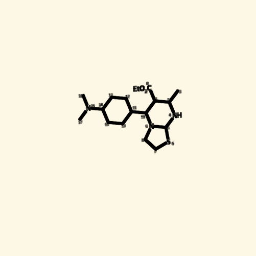 CCOC(=O)C1C(C)NC2SCCN2C1C1CCC(N(C)C)CC1